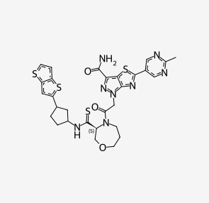 Cc1ncc(-c2nc3c(s2)c(C(N)=O)nn3CC(=O)N2CCCOC[C@H]2C(=S)NC2CCC(c3cc4sccc4s3)C2)cn1